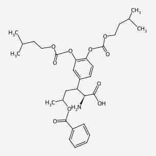 CC(C)CCOC(=O)Oc1ccc(C(CC(C)OC(=O)c2ccccc2)[C@H](N)C(=O)O)cc1OC(=O)OCCC(C)C